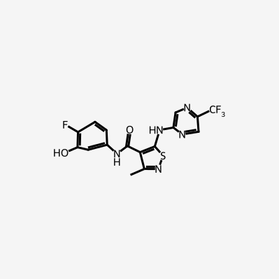 Cc1nsc(Nc2cnc(C(F)(F)F)cn2)c1C(=O)Nc1ccc(F)c(O)c1